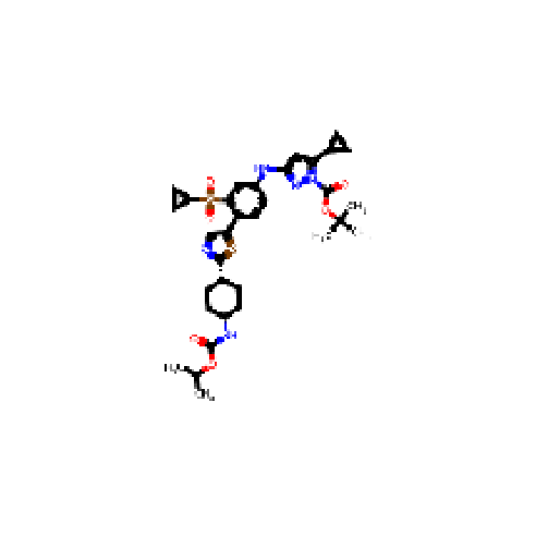 CC(C)OC(=O)N[C@H]1CC[C@H](c2ncc(-c3ccc(Nc4cc(C5CC5)n(C(=O)OC(C)(C)C)n4)cc3S(=O)(=O)C3CC3)s2)CC1